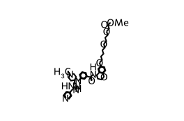 COC(=O)COCCCOCCCCCOc1ccc2c(c1)C(NC(=O)c1cccc(NC3(c4nnc(-c5ccncc5)[nH]4)CCN(C)CC3)c1)CCO2